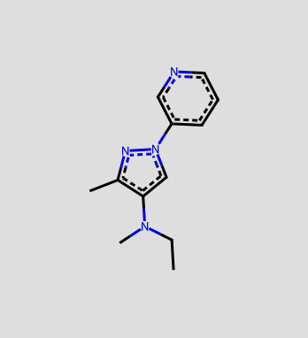 CCN(C)c1cn(-c2cccnc2)nc1C